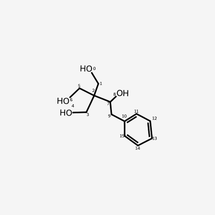 OCC(CO)(CO)C(O)Cc1ccccc1